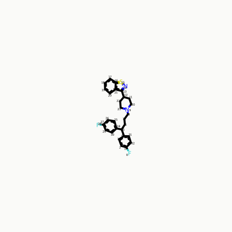 Fc1ccc(C(CCCN2CCC(c3nsc4ccccc34)CC2)c2ccc(F)cc2)cc1